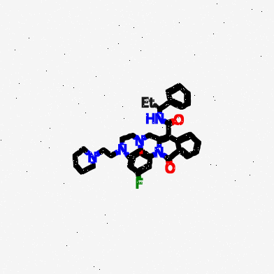 CC[C@H](NC(=O)c1c(CN2CCN(CCN3CCCCC3)CC2)n(-c2cccc(F)c2)c(=O)c2ccccc12)c1ccccc1